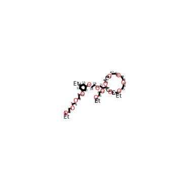 CCOCCOCCOCCOc1cc(CC)cc(OCCOCC(OCCOCC)C2COCC(CC)OCCOCCOCCOCCO2)c1